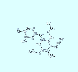 CCOCOC1C(N=[N+]=[N-])[C@@H](OC(C)=O)C(COC(C)=O)O[C@@H]1Oc1ccc(Cl)c(Cl)c1